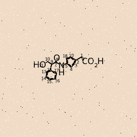 O=C(O)Cc1ccc(NC(=O)C(CO)c2ccccc2)cc1